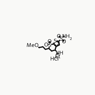 CCNC1CC(CCCOC)S(=O)(=O)c2sc(S(N)(=O)=O)cc21.Cl